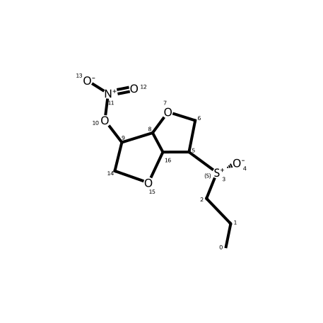 CCC[S@@+]([O-])C1COC2C(O[N+](=O)[O-])COC21